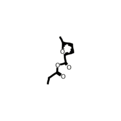 CCC(=O)OC(=O)c1ccc(C)o1